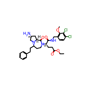 CCOC(=O)CC[C@H](C(=O)NCc1ccc(Cl)c(Cl)c1OC)N1CCC(CCc2ccccc2)N2C[C@H](N)C[C@H]2C1=O